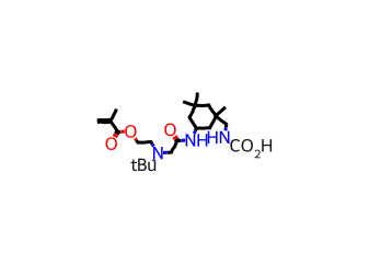 C=C(C)C(=O)OCCN(CC(=O)NC1CC(C)(C)CC(C)(CNC(=O)O)C1)C(C)(C)C